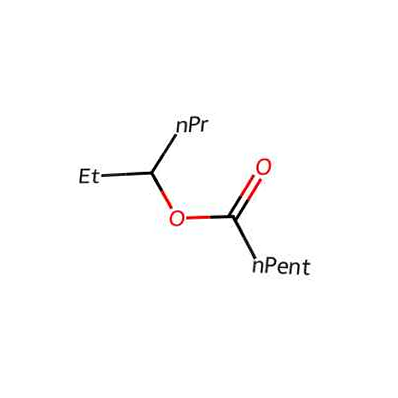 CCCCCC(=O)OC(CC)CCC